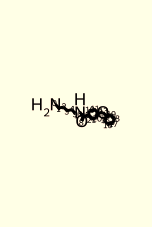 NCCCCCNC(=O)c1ccc(Oc2ccccc2)cc1